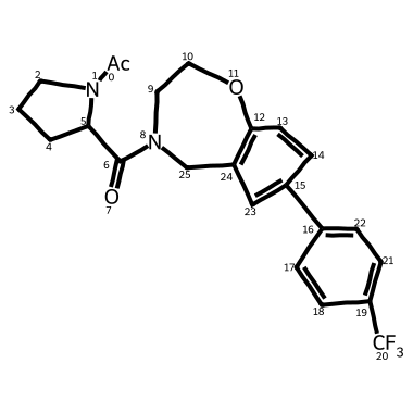 CC(=O)N1CCCC1C(=O)N1CCOc2ccc(-c3ccc(C(F)(F)F)cc3)cc2C1